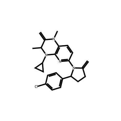 C=C1C(C)N(C2CC2)c2nc(N3C(=C)CCC3c3ccc(Cl)cc3)ccc2N1C